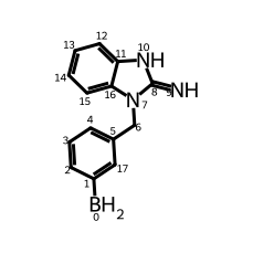 Bc1cccc(Cn2c(=N)[nH]c3ccccc32)c1